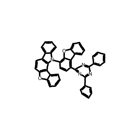 c1ccc(-c2nc(-c3ccccc3)nc(-c3ccc(-n4c5ccccc5c5ccc6oc7ccccc7c6c54)c4oc5ccccc5c34)n2)cc1